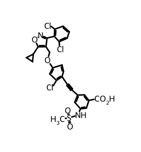 CS(=O)(=O)Nc1cc(C#Cc2ccc(OCc3c(-c4c(Cl)cccc4Cl)noc3C3CC3)cc2Cl)cc(C(=O)O)c1